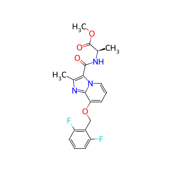 COC(=O)[C@@H](C)NC(=O)c1c(C)nc2c(OCc3c(F)cccc3F)cccn12